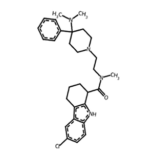 CN(CCN1CCC(c2ccccc2)(N(C)C)CC1)C(=O)C1CCCc2c1[nH]c1ccc(Cl)cc21